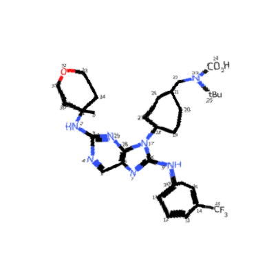 CC1(Nc2ncc3nc(Nc4cccc(C(F)(F)F)c4)n(C4CCC(CN(C(=O)O)C(C)(C)C)CC4)c3n2)CCOCC1